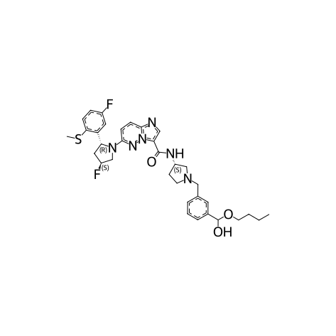 CCCCOC(O)c1cccc(CN2CC[C@H](NC(=O)c3cnc4ccc(N5C[C@@H](F)C[C@@H]5c5cc(F)ccc5SC)nn34)C2)c1